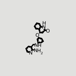 Nc1ncccc1CNc1cccc(Oc2cc(=O)[nH]c3ccccc23)c1